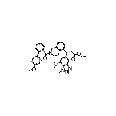 CCOC(=O)C[C@H](c1cc(OC)c2c(c1)nnn2C)c1cccc2c1CCN(C(=O)c1ccccc1-c1ccc(OC)cn1)C2